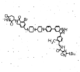 Cc1cc(-c2n[nH]c3ccc(-c4ccc(N5CCC(N6CCN(Cc7cc(Br)c8c(c7)CN(C7CCC(=O)NC7=O)C8=O)CC6)CC5)cc4)cc23)ccc1CNC(=O)c1nc(C(C)(C)C)no1